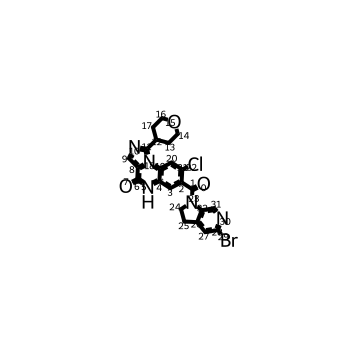 O=C(c1cc2[nH]c(=O)c3cnc(C4CCOCC4)n3c2cc1Cl)N1CCc2cc(Br)ncc21